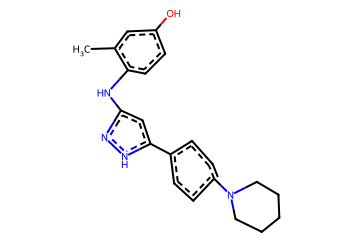 Cc1cc(O)ccc1Nc1cc(-c2ccc(N3CCCCC3)cc2)[nH]n1